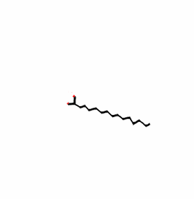 CCCCCCCCCCCCCCC(C=O)C=O